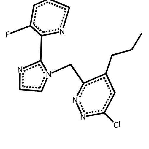 CCCc1cc(Cl)nnc1Cn1ccnc1-c1ncccc1F